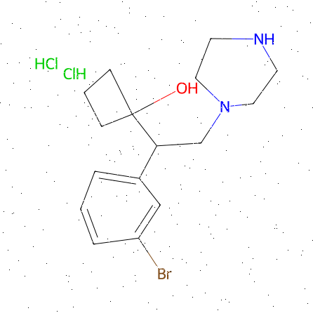 Cl.Cl.OC1(C(CN2CCNCC2)c2cccc(Br)c2)CCC1